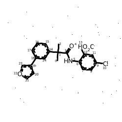 CC(C)(C(=O)Nc1ccc(Cl)cc1C(=O)O)c1cccc(-c2ccoc2)c1